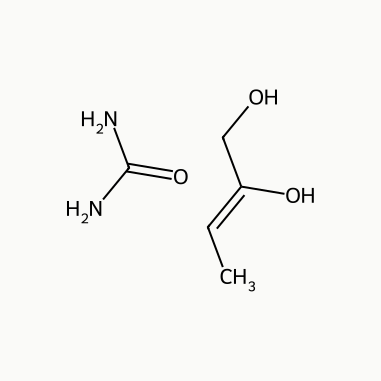 CC=C(O)CO.NC(N)=O